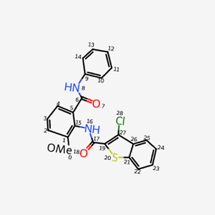 COc1cccc(C(=O)Nc2ccccc2)c1NC(=O)c1sc2ccccc2c1Cl